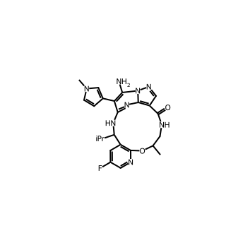 CC1CNC(=O)c2cnn3c(N)c(-c4ccn(C)c4)c(nc23)NC(C(C)C)c2cc(F)cnc2O1